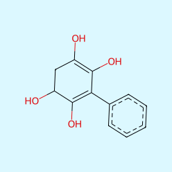 OC1=C(O)C(c2ccccc2)=C(O)C(O)C1